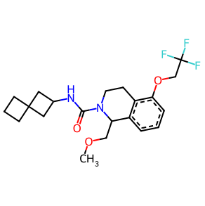 COCC1c2cccc(OCC(F)(F)F)c2CCN1C(=O)NC1CC2(CCC2)C1